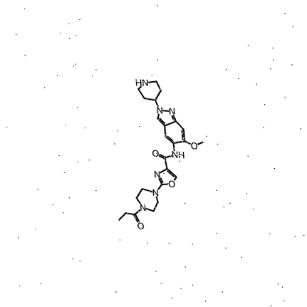 CCC(=O)N1CCN(c2nc(C(=O)Nc3cc4cn(C5CCNCC5)nc4cc3OC)co2)CC1